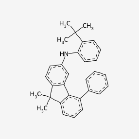 CC(C)(C)c1ccccc1Nc1ccc2c(c1)-c1c(-c3ccccc3)cccc1C2(C)C